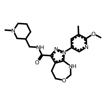 COc1ncc(-n2nc(C(=O)NCC3CCCN(C)C3)c3c2NCOCC3)cc1C